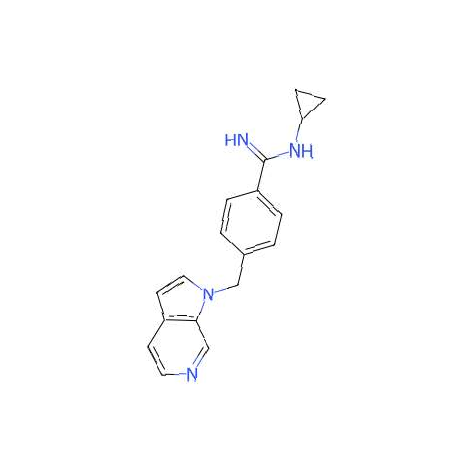 N=C(NC1CC1)c1ccc(Cn2ccc3ccncc32)cc1